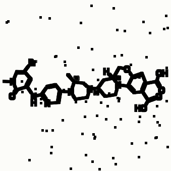 C[C@H]1CN([C@@H]2CCN3c4cc(C(=O)O)c(C(=O)O)cc4OC[C@H]3C2)CCN1c1ccc(Nc2cc(Br)cn(C)c2=O)nc1